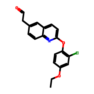 CCOc1ccc(Oc2ccc3cc(CC=O)ccc3n2)c(Cl)c1